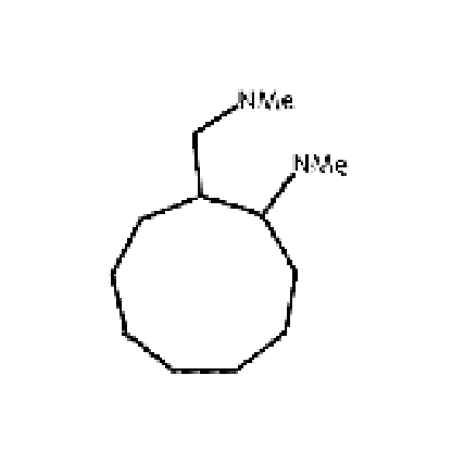 CNCC1CCCCCCCC1NC